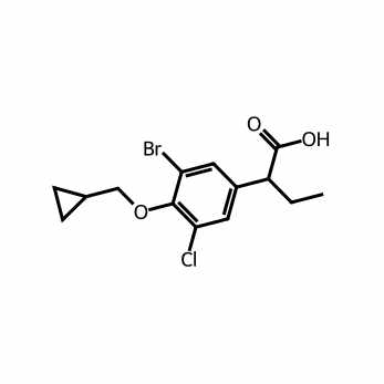 CCC(C(=O)O)c1cc(Cl)c(OCC2CC2)c(Br)c1